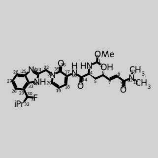 COC(O)N[C@@H](CC/C=C/C(=O)N(C)C)C(=O)Nc1cccn(Cc2nc3cccc(C(F)C(C)C)c3[nH]2)c1=O